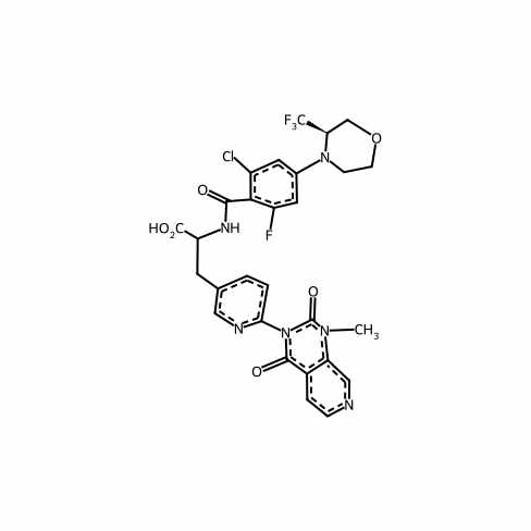 Cn1c(=O)n(-c2ccc(CC(NC(=O)c3c(F)cc(N4CCOC[C@@H]4C(F)(F)F)cc3Cl)C(=O)O)cn2)c(=O)c2ccncc21